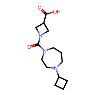 O=C(O)C1CN(C(=O)N2CCCN(C3CCC3)CC2)C1